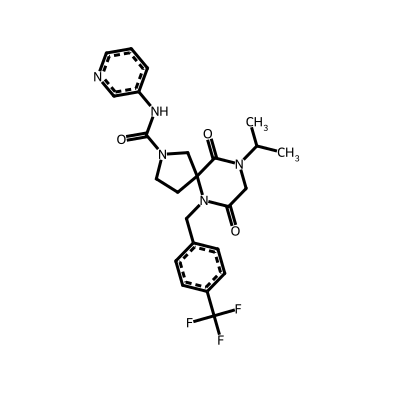 CC(C)N1CC(=O)N(Cc2ccc(C(F)(F)F)cc2)C2(CCN(C(=O)Nc3cccnc3)C2)C1=O